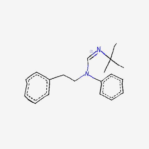 CC(C)(C)/N=C\N(CCc1ccccc1)c1ccccc1